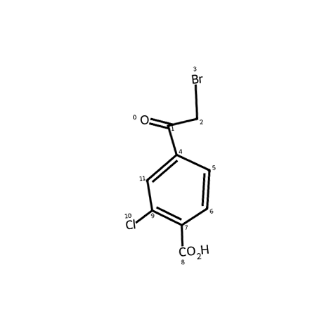 O=C(CBr)c1ccc(C(=O)O)c(Cl)c1